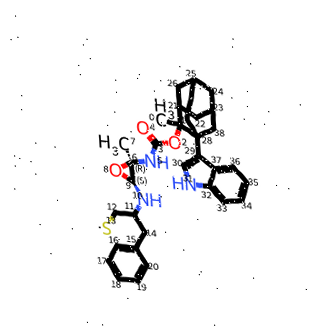 CC1(OC(=O)N[C@]2(C)O[C@@H]2NC(C[S])Cc2ccccc2)C2CC3CC(C2)CC1(c1c[nH]c2ccccc12)C3